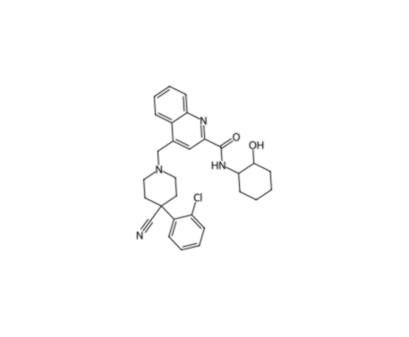 N#CC1(c2ccccc2Cl)CCN(Cc2cc(C(=O)NC3CCCCC3O)nc3ccccc23)CC1